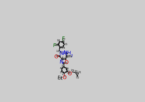 CCOc1ccc(-c2nc(C(=O)NCc3ccc(F)cc3F)c([C@H](C)N)o2)cc1OCC1CC1